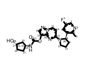 Cc1ncc(F)cc1[C@H]1CCCN1c1ccn2ncc(OC(=O)N[C@H]3CC[C@H](O)C3)c2n1